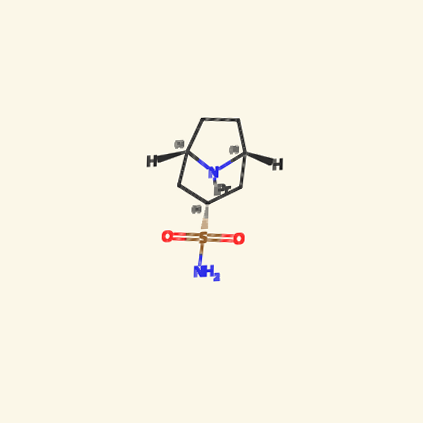 CC(C)N1[C@@H]2CC[C@H]1C[C@@H](S(N)(=O)=O)C2